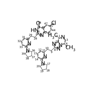 Cc1ncc(C)n2nc(CCc3cccc(N4CCCC4)n3)nc12.O=c1[nH]c(CCc2cccc(N3CCCC3)n2)nc2ccc(Cl)cc12